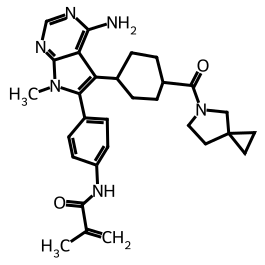 C=C(C)C(=O)Nc1ccc(-c2c(C3CCC(C(=O)N4CCC5(CC5)C4)CC3)c3c(N)ncnc3n2C)cc1